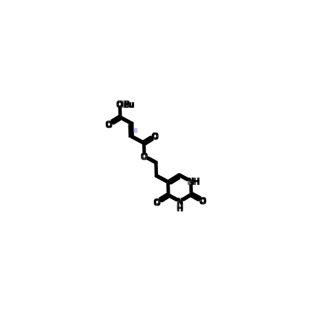 CC(C)COC(=O)/C=C/C(=O)OCCc1c[nH]c(=O)[nH]c1=O